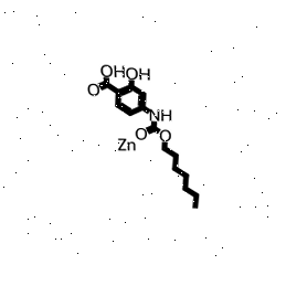 CCCCCCCOC(=O)Nc1ccc(C(=O)O)c(O)c1.[Zn]